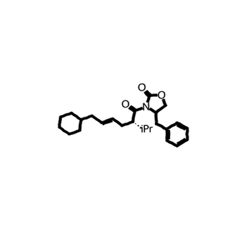 CC(C)[C@H](C/C=C/CC1CCCCC1)C(=O)N1C(=O)OCC1Cc1ccccc1